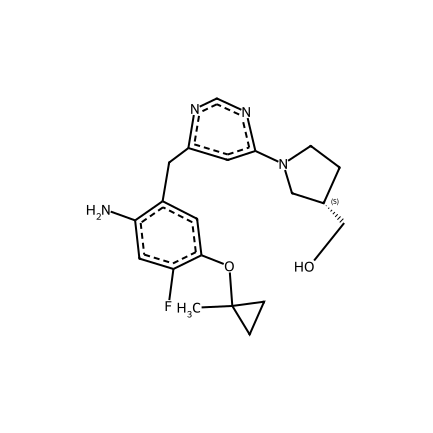 CC1(Oc2cc(Cc3cc(N4CC[C@H](CO)C4)ncn3)c(N)cc2F)CC1